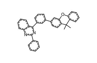 CC1(C)c2ccccc2Oc2cc(-c3cccc(-c4nc(-c5ccccc5)nc5ccccc45)c3)ccc21